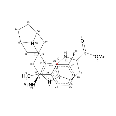 COC(=O)C1CCc2nc(C)n(C3CC4CCC(C3)N4CC[C@H](NC(C)=O)c3cccc(F)c3)c2N1